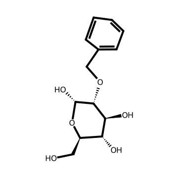 OC[C@H]1O[C@H](O)[C@H](OCc2ccccc2)[C@@H](O)[C@@H]1O